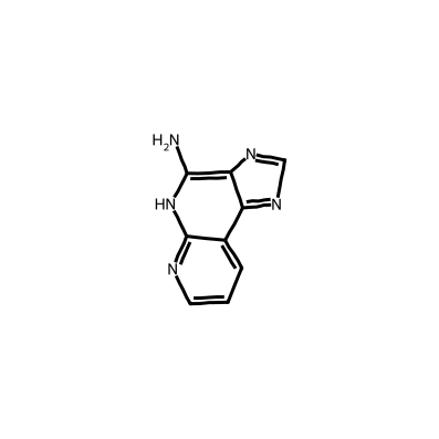 Nc1[nH]c2ncccc2c2ncnc1-2